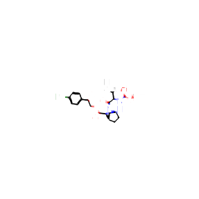 COC(=O)NC(C(=O)N1C2CCC(C2)C1C(=O)OCC(=O)c1ccc(Br)cc1)C(C)C